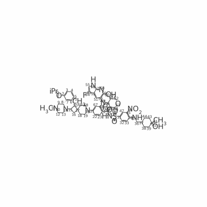 CC(C)Oc1ccccc1[C@H]1CN(C)CCN1C1CC2(CCN(c3ccc(C(=O)NS(=O)(=O)c4ccc(NCC5CCC(C)(O)CC5)c([N+](=O)[O-])c4)c(N4c5cc6c(F)c[nH]c6nc5O[C@H]5COCC[C@@H]54)c3)CC2)C1C